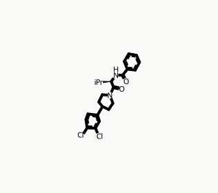 CC(C)[C@@H](NC(=O)c1ccccc1)C(=O)N1CCC(c2ccc(Cl)c(Cl)c2)CC1